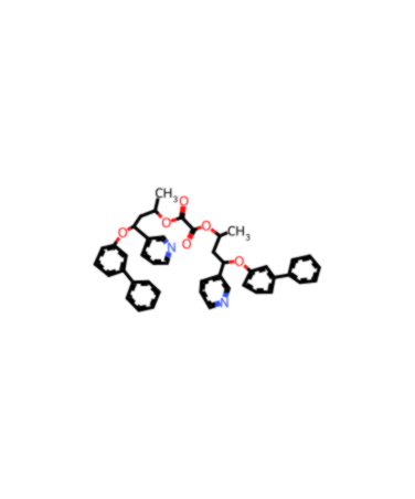 CC(CC(Oc1cccc(-c2ccccc2)c1)c1cccnc1)OC(=O)C(=O)OC(C)CC(Oc1cccc(-c2ccccc2)c1)c1cccnc1